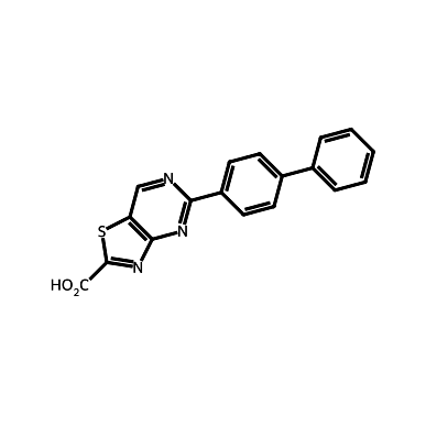 O=C(O)c1nc2nc(-c3ccc(-c4ccccc4)cc3)ncc2s1